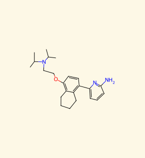 CC(C)N(CCOc1ccc(-c2cccc(N)n2)c2c1CCCC2)C(C)C